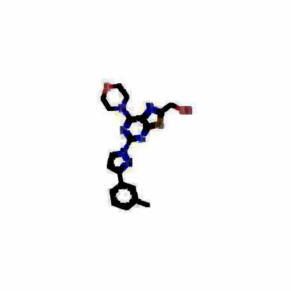 Cc1cccc(-c2ccn(-c3nc(N4CCOCC4)c4nc(CO)sc4n3)n2)c1